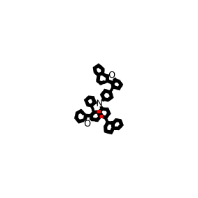 c1ccc(N(c2ccc(-c3cccc4ccccc34)cc2)c2ccc(-c3cccc4oc5c6ccccc6ccc5c34)cc2)c(-c2cccc3oc4ccccc4c23)c1